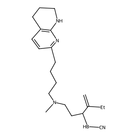 C=C(CC)C(BC#N)CCN(C)CCCCc1ccc2c(n1)NCCC2